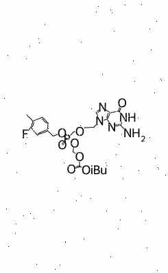 Cc1ccc(COP(=O)(COCCn2cnc3c(=O)[nH]c(N)nc32)OCOC(=O)OCC(C)C)cc1F